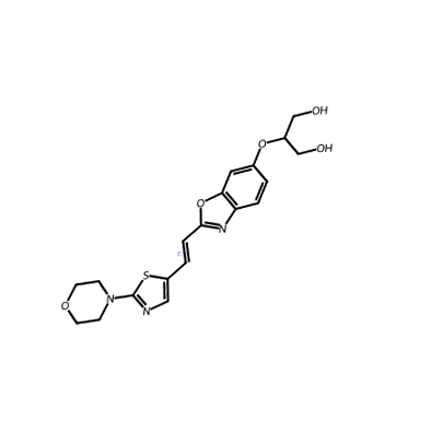 OCC(CO)Oc1ccc2nc(/C=C/c3cnc(N4CCOCC4)s3)oc2c1